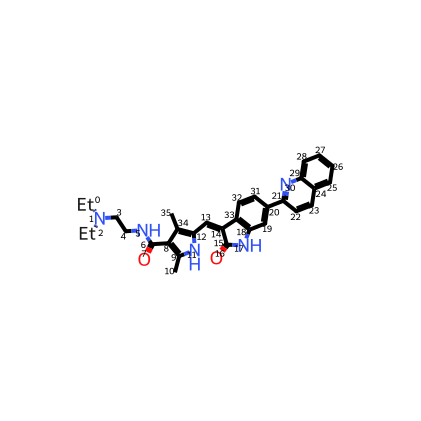 CCN(CC)CCNC(=O)c1c(C)[nH]c(/C=C2\C(=O)Nc3cc(-c4ccc5ccccc5n4)ccc32)c1C